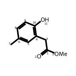 COC(=O)Cc1cc(C)ccc1O